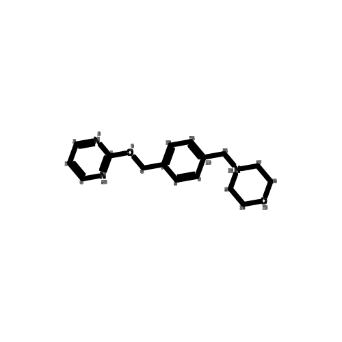 [c]1ccnc(OCc2ccc(CN3CCOCC3)cc2)n1